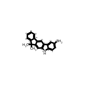 Bc1ccc2[nH]c3cc4c(cc3c2c1)-c1ccccc1C4(C)C